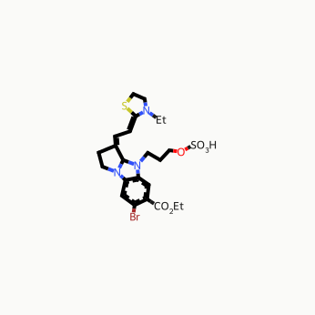 CCOC(=O)c1cc2c(cc1Br)N1CCC(=CC=C3SCCN3CC)C1N2CCCOS(=O)(=O)O